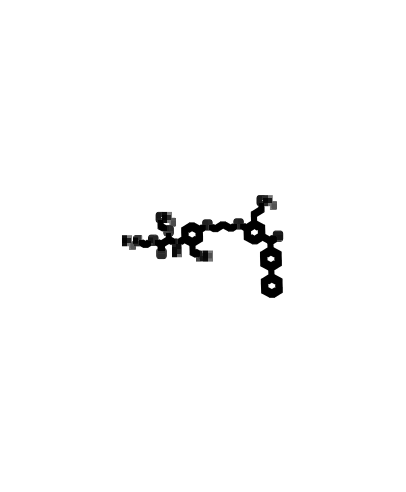 CCCc1cc(C(=O)c2ccc(-c3ccccc3)cc2)ccc1OCCCOc1ccc(NC(OCC)C(=O)OCC)c(C=N)c1